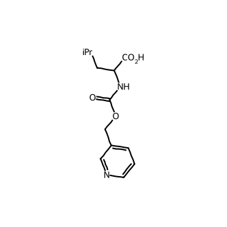 CC(C)CC(NC(=O)OCc1cccnc1)C(=O)O